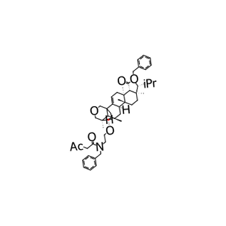 CC(=O)CC(=O)N(CCO[C@H]1[C@H](C)CC23COC[C@@]1(C)[C@@H]2CC[C@H]1C3=CC[C@@]2(C)[C@H](C(=O)OCc3ccccc3)[C@@](C)([C@H](C)C(C)C)CC[C@]12C)Cc1ccccc1